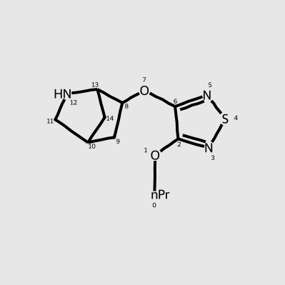 CCCOc1nsnc1OC1CC2CNC1C2